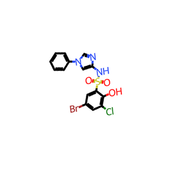 O=S(=O)(Nc1cn(-c2ccccc2)cn1)c1cc(Br)cc(Cl)c1O